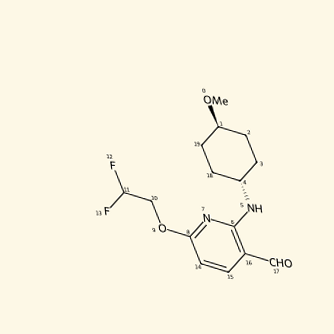 CO[C@H]1CC[C@H](Nc2nc(OCC(F)F)ccc2C=O)CC1